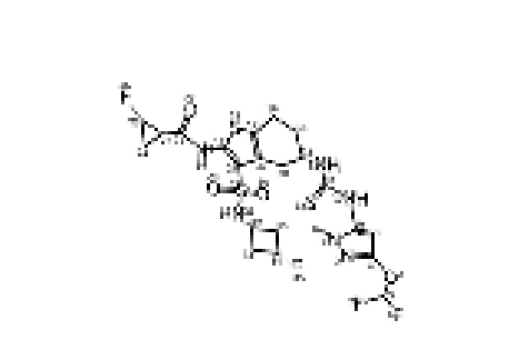 Cn1nc(OC(F)F)cc1NC(=S)N[C@H]1CCc2sc(NC(=O)[C@H]3C[C@@H]3F)c(S(=O)(=O)N[C@H]3C[C@@H](F)C3)c2C1